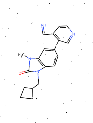 Cn1c(=O)n(CC2CCC2)c2ccc(-c3cnccc3C=N)cc21